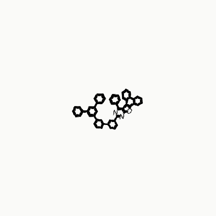 c1ccc(-c2cc(-c3ccccc3)cc(-c3cccc(-c4cccc(-c5nc(-c6ccccc6)c6c(n5)oc5c7ccccc7c7ccccc7c56)c4)c3)c2)cc1